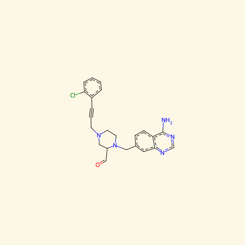 Nc1ncnc2cc(CN3CCN(CC#Cc4ccccc4Cl)CC3C=O)ccc12